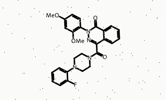 COc1ccc(-n2nc(C(=O)N3CCN(c4ccccc4F)CC3)c3ccccc3c2=O)c(OC)c1